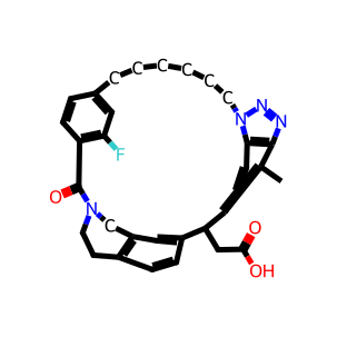 Cc1c2ccc3c1nnn3CCCCCCc1ccc(c(F)c1)C(=O)N1CCc3ccc(cc3C1)C2CC(=O)O